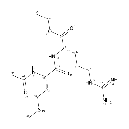 CCOC(=O)[C@H](CCCNC(=N)N)NC(=O)[C@H](CCSC)NC(C)=O